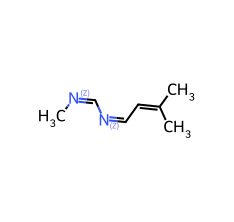 C/N=C\N=C/C=C(C)C